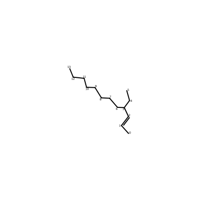 C/C=C/C(CC)CCCCCCCC